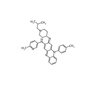 Cc1ccc(-n2c3c/c(=N/C4CCN(CC(C)C)CC4)c(Nc4ccc(C)nc4)cc-3nc3ccccc32)cc1